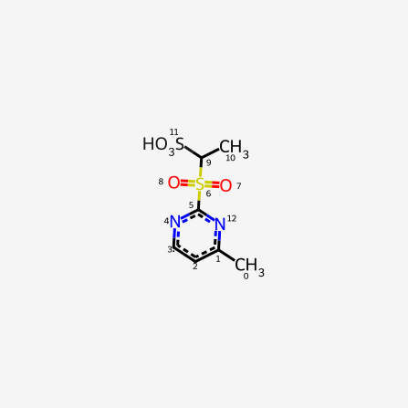 Cc1c[c]nc(S(=O)(=O)C(C)S(=O)(=O)O)n1